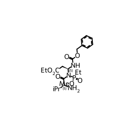 CCOC(=O)C[C@@H](NC(=O)OCc1ccccc1)N(C(=O)[C@@H](N)C(C)C)P(=O)(CC)OC